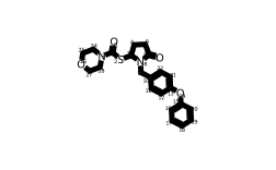 O=C(SC1CCC(=O)N1Cc1ccc(Oc2ccccc2)cc1)N1CCOCC1